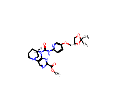 COC(=O)c1ncc2c(n1)N(C(=O)Nc1ccc(OC[C@@H]3COC(C)(C)O3)cn1)[C@H]1CCCN2C1